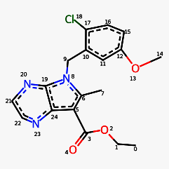 CCOC(=O)c1c(C)n(Cc2cc(OC)ccc2Cl)c2nccnc12